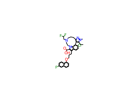 CCc1c2c(nn1C)CCCN(CC(F)F)CCn1c(C(=O)O)c(CCCOc3cccc4cc(F)ccc34)c3ccc(Cl)c-2c31